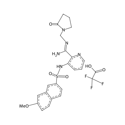 COc1ccc2ccc(S(=O)(=O)Nc3cccnc3C(N)=NCN3CCCC3=O)cc2c1.O=C(O)C(F)(F)F